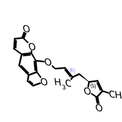 CC1=C[C@H](C/C(C)=C/COc2c3occc3cc3ccc(=O)oc23)OC1=O